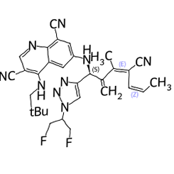 C=C(/C(C)=C(C#N)\C=C/C)[C@H](Nc1cc(C#N)c2ncc(C#N)c(NCC(C)(C)C)c2c1)c1cn(C(CF)CF)nn1